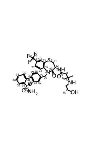 C[C@@H](O)CNC(C)(C)CC(=O)N[C@@H]1CSc2cc(C(F)(F)F)ccc2N(Cc2ccc(-c3ccccc3S(N)(=O)=O)cc2)C1=O